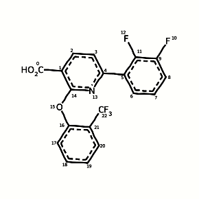 O=C(O)c1ccc(-c2cccc(F)c2F)nc1Oc1ccccc1C(F)(F)F